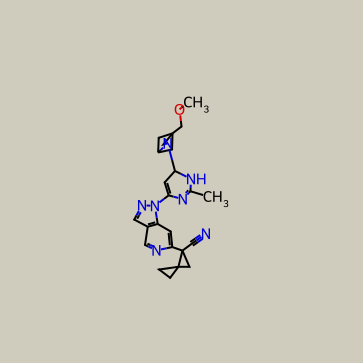 COCC12CC(C1)N(C1C=C(n3ncc4cnc(C5(C#N)CC56CC6)cc43)N=C(C)N1)C2